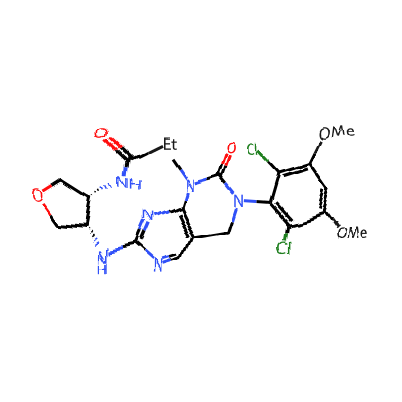 CCC(=O)N[C@H]1COC[C@H]1Nc1ncc2c(n1)N(C)C(=O)N(c1c(Cl)c(OC)cc(OC)c1Cl)C2